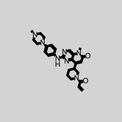 C=CC(=O)N1CCCC(c2cc(=O)n(C)c3cnc(Nc4ccc(N5CCN(C)CC5)cc4)nc23)C1